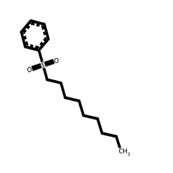 CCCCCCCCCS(=O)(=O)c1ccccc1